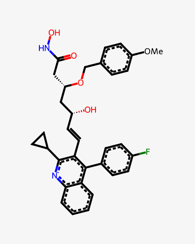 COc1ccc(CO[C@@H](CC(=O)NO)C[C@H](O)/C=C/c2c(C3CC3)nc3ccccc3c2-c2ccc(F)cc2)cc1